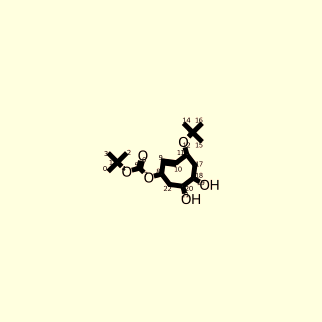 CC(C)(C)OC(=O)OC1/C=C/C(OC(C)(C)C)CC(O)C(O)C1